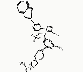 Cc1ccn(-c2cc(-c3ccc4ccccc4c3)ccc2C(Oc2cc(N3CCC4(CC3)CN[C@H](C(=O)O)C4)nc(N)n2)C(F)(F)F)n1